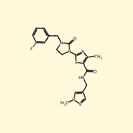 Cc1nc(N2CCN(Cc3cccc(F)c3)C2=O)sc1C(=O)NCc1cnn(C)c1